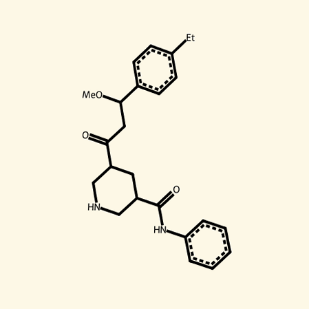 CCc1ccc(C(CC(=O)C2CNCC(C(=O)Nc3ccccc3)C2)OC)cc1